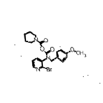 COc1ccc(CN(C(=O)OC(=O)N2CCCCC2)c2cccnc2Br)cc1